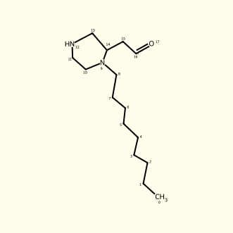 CCCCCCCCCN1CCNCC1C[C]=O